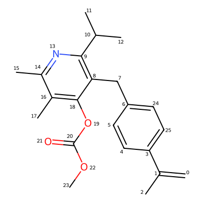 C=C(C)c1ccc(Cc2c(C(C)C)nc(C)c(C)c2OC(=O)OC)cc1